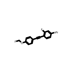 CCCc1ccc(C#Cc2ccc(OCF)cc2)c(F)c1